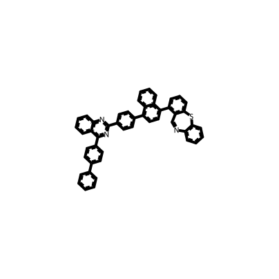 C1=Nc2ccccc2Sc2cccc(-c3ccc(-c4ccc(-c5nc(-c6ccc(-c7ccccc7)cc6)c6ccccc6n5)cc4)c4ccccc34)c21